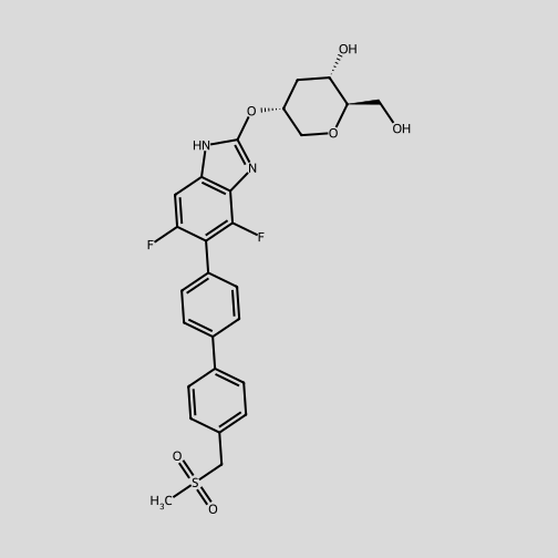 CS(=O)(=O)Cc1ccc(-c2ccc(-c3c(F)cc4[nH]c(O[C@H]5CO[C@H](CO)[C@@H](O)C5)nc4c3F)cc2)cc1